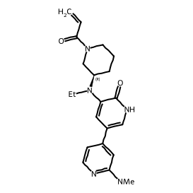 C=CC(=O)N1CCC[C@@H](N(CC)c2cc(-c3ccnc(NC)c3)c[nH]c2=O)C1